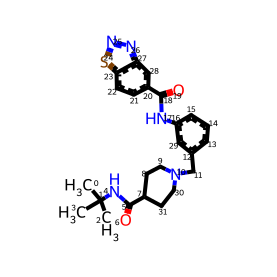 CC(C)(C)NC(=O)C1CCN(Cc2cccc(NC(=O)c3ccc4snnc4c3)c2)CC1